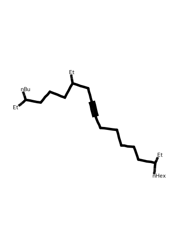 [CH2]CCCCCC(CC)CCCCCC#CCC(CC)CCCC(CC)CCC[CH2]